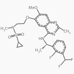 COc1cc2nc(C)nc(N[C@H](C)c3cccc(C(F)F)c3F)c2cc1OCCN(C)S(=O)(=O)C1CC1